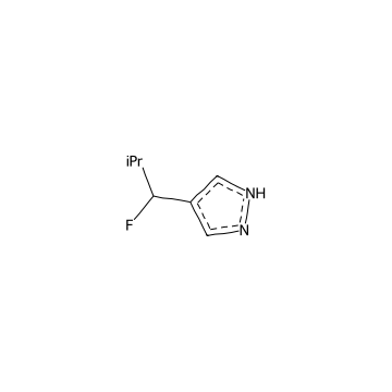 CC(C)C(F)c1cn[nH]c1